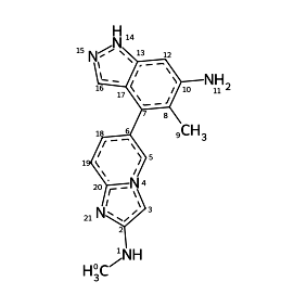 CNc1cn2cc(-c3c(C)c(N)cc4[nH]ncc34)ccc2n1